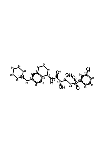 O=C(N[C@@H]1CCCc2cc(CN3CCCCC3)ccc21)[C@H](O)[C@H](O)CS(=O)(=O)c1cccc(Cl)c1